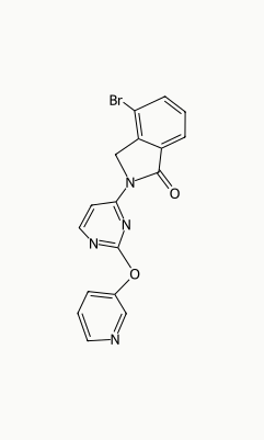 O=C1c2cccc(Br)c2CN1c1ccnc(Oc2cccnc2)n1